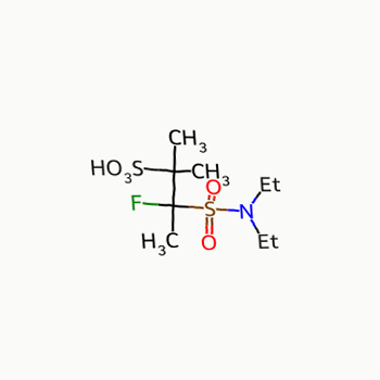 CCN(CC)S(=O)(=O)C(C)(F)C(C)(C)S(=O)(=O)O